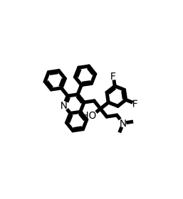 CN(C)CCC(O)(Cc1c(-c2ccccc2)c(-c2ccccc2)nc2ccccc12)C1C=C(F)C=C(F)C1